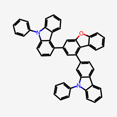 c1ccc(-n2c3ccccc3c3ccc(-c4cc(-c5cccc6c5c5ccccc5n6-c5ccccc5)cc5oc6ccccc6c45)cc32)cc1